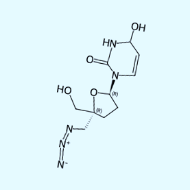 [N-]=[N+]=NC[C@@]1(CO)CC[C@H](N2C=CC(O)NC2=O)O1